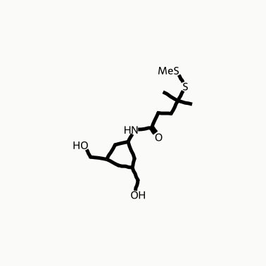 CSSC(C)(C)CCC(=O)NC1CC(CO)CC(CO)C1